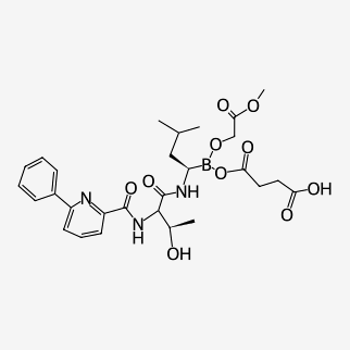 COC(=O)COB(OC(=O)CCC(=O)O)[C@H](CC(C)C)NC(=O)C(NC(=O)c1cccc(-c2ccccc2)n1)[C@@H](C)O